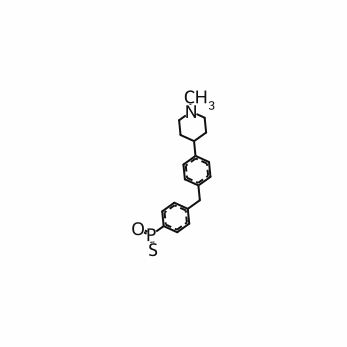 CN1CCC(c2ccc(Cc3ccc(P(=O)=S)cc3)cc2)CC1